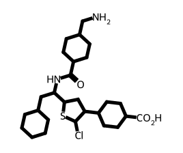 NCC1CCC(C(=O)NC(CC2CCCCC2)C2CC(C3CCC(C(=O)O)CC3)C(Cl)S2)CC1